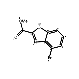 COC(=O)c1nc2c(Br)cccc2s1